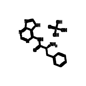 N[C@@H](Cc1ccccc1)C(=O)Nc1ncnc2nc[nH]c12.O=P(O)(O)O